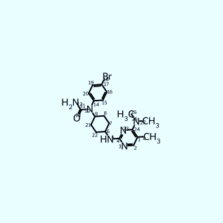 Cc1cnc(NC2CCC(N(C(N)=O)c3ccc(Br)cc3)CC2)nc1N(C)C